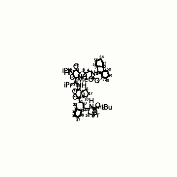 COC(=O)N(CCC[C@H](NC(=O)[C@@H](NC(=O)[C@@H]1CCCN1C(=O)[C@H](/C=C/[C@H](CC(C)C)NC(=O)OC(C)(C)C)Cc1ccccc1)C(C)C)C(=O)NC(C)C)C1c2ccccc2-c2ccccc21